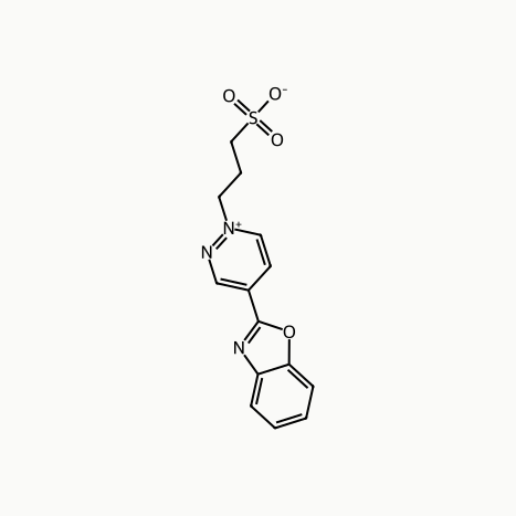 O=S(=O)([O-])CCC[n+]1ccc(-c2nc3ccccc3o2)cn1